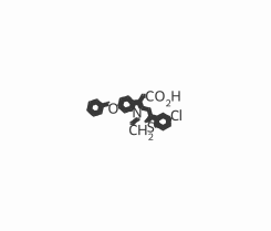 C=CCn1c(Cc2csc3ccc(Cl)cc23)c(CC(=O)O)c2ccc(OCc3ccccc3)cc21